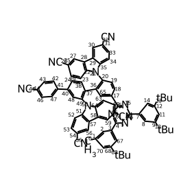 Cc1cc(-c2nc(-c3cc(C(C)(C)C)cc(C(C)(C)C)c3)nc(-c3ccc(-n4c5ccc(C#N)cc5c5cc(C#N)ccc54)c(-c4ccc(-c5ccc(C#N)cc5)cc4-n4c5ccc(C#N)cc5c5cc(C#N)ccc54)c3)n2)cc(C(C)(C)C)c1